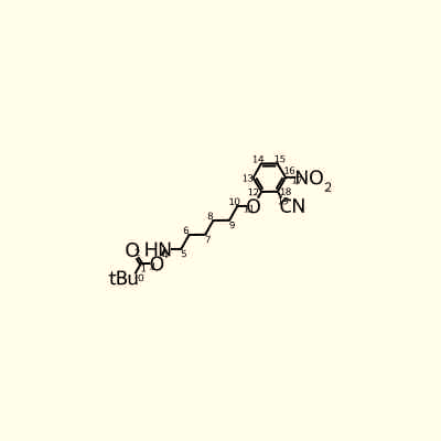 CC(C)(C)C(=O)ONCCCCCCOc1cccc([N+](=O)[O-])c1C#N